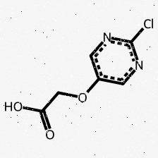 O=C(O)COc1cnc(Cl)nc1